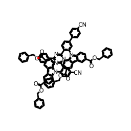 N#Cc1ccc(-c2ccc(-c3nc(-c4ccccc4)nc(-c4cc(C#N)ccc4-n4c5ccc(C(=O)OCc6ccccc6)cc5c5cc(C(=O)OCc6ccccc6)ccc54)n3)c(-n3c4ccc(C(=O)OCc5ccccc5)cc4c4cc(C(=O)OCc5ccccc5)ccc43)c2)cc1